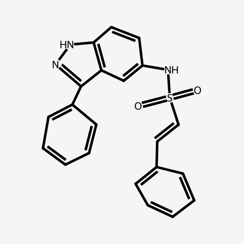 O=S(=O)(C=Cc1ccccc1)Nc1ccc2[nH]nc(-c3ccccc3)c2c1